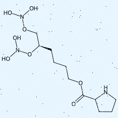 O=C(OCCCC[C@H](CON(O)O)ON(O)O)C1CCCN1